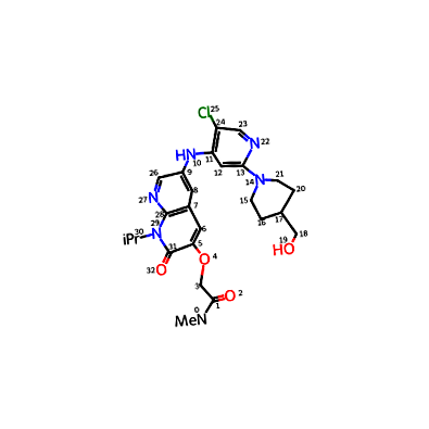 CNC(=O)COc1cc2cc(Nc3cc(N4CCC(CO)CC4)ncc3Cl)cnc2n(C(C)C)c1=O